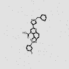 O=C(O)c1cc(-c2cnn(Cc3ccccc3)c2)nc2ccc3nn(-c4cccc(F)c4)nc3c12